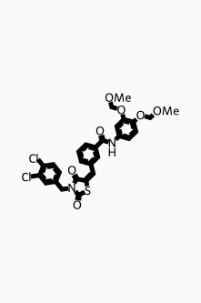 COCOc1ccc(NC(=O)c2cccc(C=C3SC(=O)N(Cc4ccc(Cl)c(Cl)c4)C3=O)c2)cc1OCOC